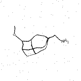 COC1C2CC3CC1CC(CN)(C3)C2